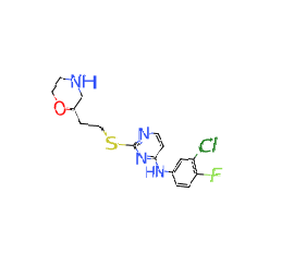 Fc1ccc(Nc2ccnc(SCCC3CNCCO3)n2)cc1Cl